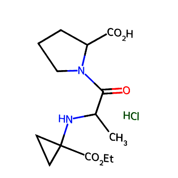 CCOC(=O)C1(NC(C)C(=O)N2CCCC2C(=O)O)CC1.Cl